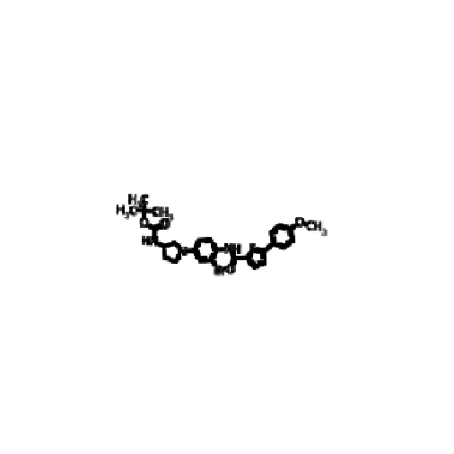 COc1ccc(-c2ccc(C(=O)Nc3ccc(N4CCC(NC(=O)OC(C)(C)C)C4)cc3Br)s2)cc1